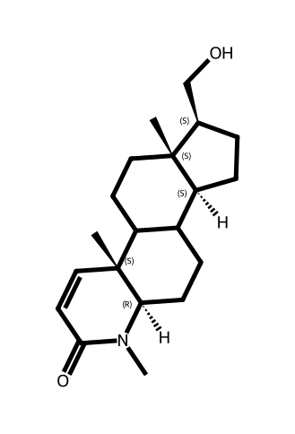 CN1C(=O)C=C[C@]2(C)C3CC[C@]4(C)[C@@H](CO)CC[C@H]4C3CC[C@@H]12